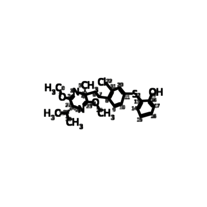 COC1=N[C@@](C)(CCc2ccc(Sc3ccccc3O)cc2Cl)C(OC)=N[C@@H]1C(C)C